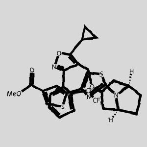 COC(=O)c1csc(-c2csc(N3[C@@H]4CC[C@H]3CC(OCc3c(-c5ccccc5OC(F)(F)F)noc3C3CC3)C4)n2)c1